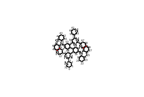 c1ccc(-c2nc(-c3cccnc3)cc(-c3cc(N4c5ccccc5Cc5ccccc54)ccc3-c3ccc(N4c5ccccc5Sc5ccccc54)cc3-c3cc(-c4cccnc4)nc(-c4ccccn4)n3)n2)nc1